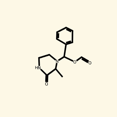 CC1C(=O)NCCN1C(OC=O)c1ccccc1